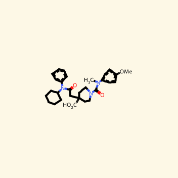 COc1ccc(N(C)C(=O)N2CCC(CC(=O)N(c3ccccc3)C3CCCCC3)(C(=O)O)CC2)cc1